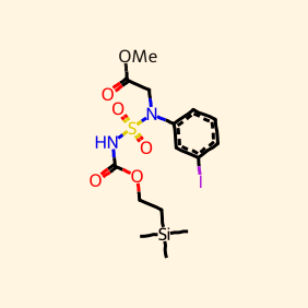 COC(=O)CN(c1cccc(I)c1)S(=O)(=O)NC(=O)OCC[Si](C)(C)C